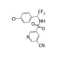 N#Cc1cncc(S(=O)(=O)NC(c2ccc(Cl)cc2)C(F)(F)F)c1